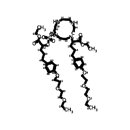 CCOCCOCCOc1ccc(CCCC(C(=O)OCC)N2CCNCCNCCNCC2)cc1.CCOCCOCCOc1ccc(CCCC(OS(C)(=O)=O)C(=O)OCC)cc1